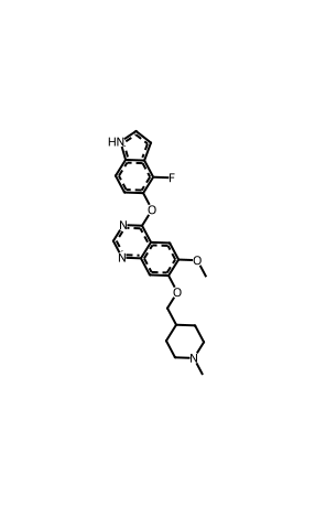 COc1cc2c(Oc3ccc4[nH]ccc4c3F)ncnc2cc1OCC1CCN(C)CC1